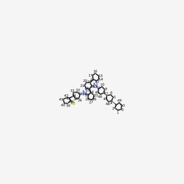 c1ccc(-c2ccc(-c3ccc(-n4c5ccccc5c5ccc6c(c7ccccc7n6-c6ccc7c(c6)sc6ccccc67)c54)cc3)cc2)cc1